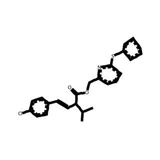 CC(C)C(C=Cc1ccc(Cl)cc1)C(=O)OCc1cccc(Sc2ccccc2)n1